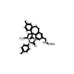 CONCc1ccc2c(c1)CCc1cc(C)ccc1C2(CCN)c1nn(-c2ccc(C)cc2)c(=O)[nH]1